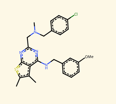 COc1cccc(CNc2nc(CN(C)Cc3ccc(Cl)cc3)nc3sc(C)c(C)c23)c1